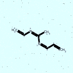 C=C/C=N\C(C)=N/C=C